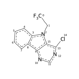 FC(F)(F)Cn1c2ccccc2c2ncnc(Cl)c21